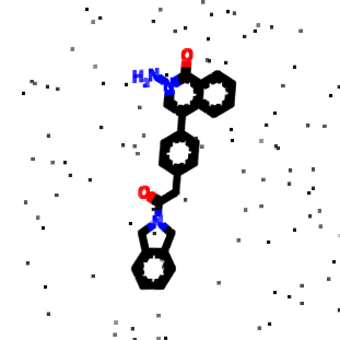 Nn1cc(-c2ccc(CC(=O)N3Cc4ccccc4C3)cc2)c2ccccc2c1=O